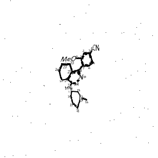 COc1cc(C#N)ccc1-c1nnc(N[C@@H]2CCCN(C)C2)c2c1CCCC2